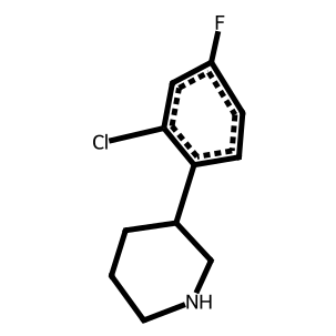 Fc1ccc(C2CCCNC2)c(Cl)c1